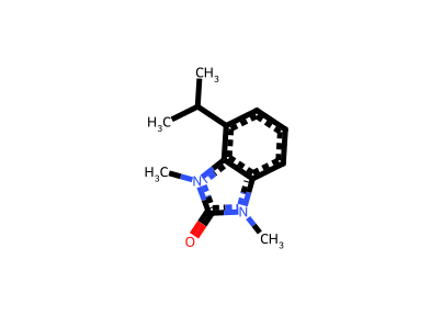 CC(C)c1cccc2c1n(C)c(=O)n2C